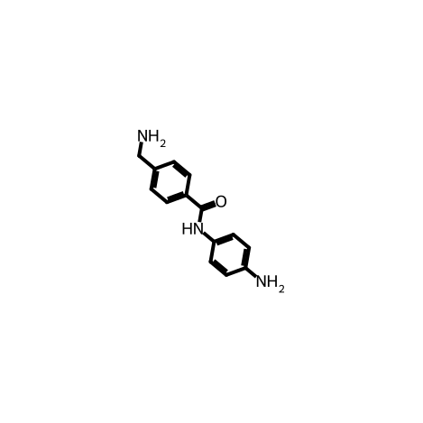 NCc1ccc(C(=O)Nc2ccc(N)cc2)cc1